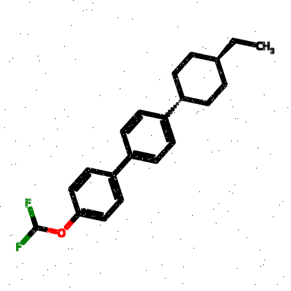 CC[C@H]1CC[C@H](c2ccc(-c3ccc(OC(F)F)cc3)cc2)CC1